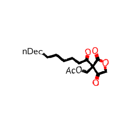 CCCCCCCCCCCCCCCC(=O)C1(COC(C)=O)C(=O)COC1=O